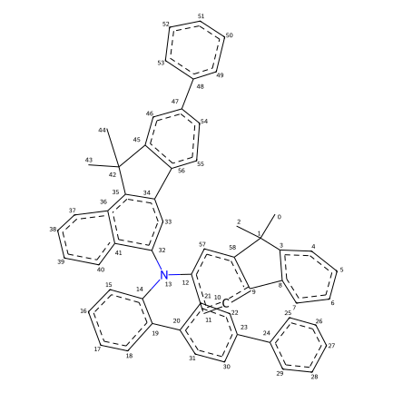 CC1(C)c2ccccc2-c2ccc(N(c3ccccc3-c3ccc(-c4ccccc4)cc3)c3cc4c(c5ccccc35)C(C)(C)c3cc(-c5ccccc5)ccc3-4)cc21